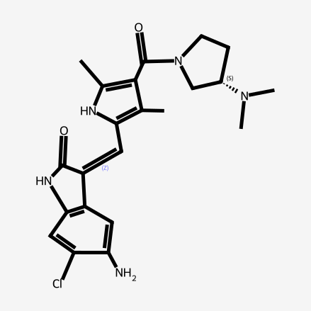 Cc1[nH]c(/C=C2\C(=O)Nc3cc(Cl)c(N)cc32)c(C)c1C(=O)N1CC[C@H](N(C)C)C1